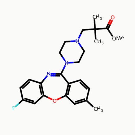 COC(=O)C(C)(C)CN1CCN(C2=Nc3ccc(F)cc3Oc3cc(C)ccc32)CC1